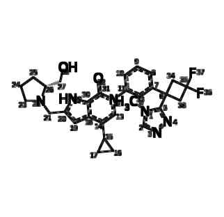 Cn1cnnc1C1(c2cccc(-n3cc(C4CC4)c4cc(CN5CCC[C@@H]5CO)[nH]c4c3=O)c2)CC(F)(F)C1